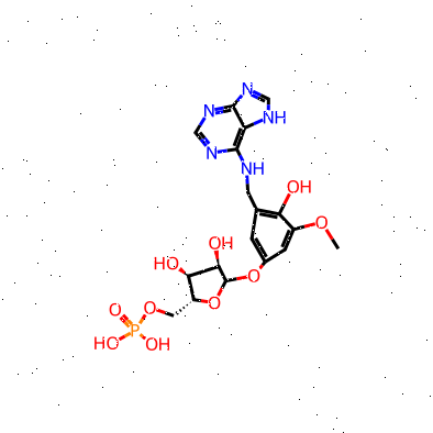 COc1cc(OC2O[C@H](COP(=O)(O)O)[C@@H](O)[C@H]2O)cc(CNc2ncnc3nc[nH]c23)c1O